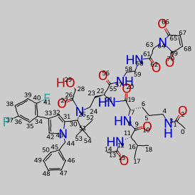 CC(=O)NCCC[C@H](NC(=O)[C@@H](NC(C)=O)C(C)C)C(=O)N[C@@H](CCN(C(=O)CO)[C@@H](c1cc(-c2cc(F)ccc2F)cn1Cc1ccccc1)C(C)(C)C)C(=O)NCCNC(=O)CN1C(=O)C=CC1=O